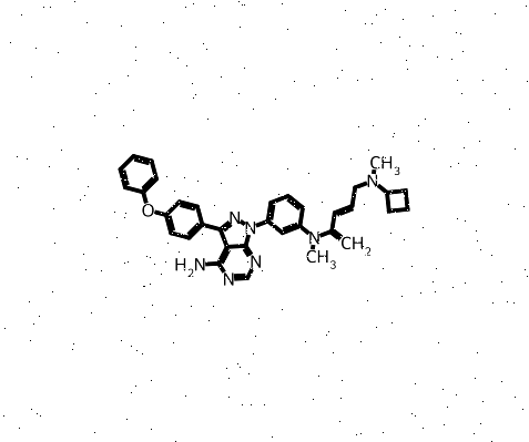 C=C(/C=C/CN(C)C1CCC1)N(C)c1cccc(-n2nc(-c3ccc(Oc4ccccc4)cc3)c3c(N)ncnc32)c1